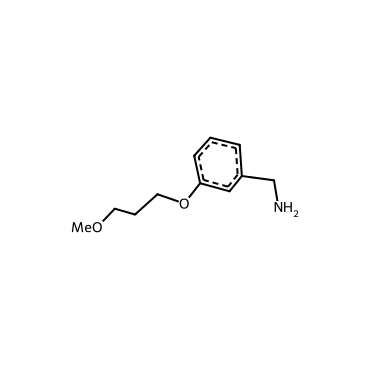 COCCCOc1cccc(CN)c1